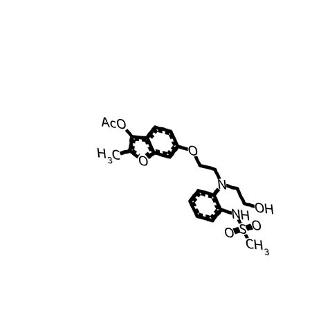 CC(=O)Oc1c(C)oc2cc(OCCN(CCO)c3ccccc3NS(C)(=O)=O)ccc12